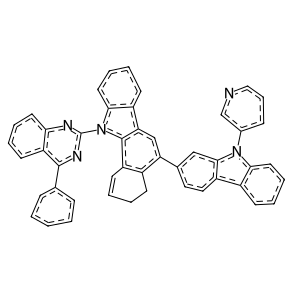 C1=Cc2c(c(-c3ccc4c5ccccc5n(-c5cccnc5)c4c3)cc3c4ccccc4n(-c4nc(-c5ccccc5)c5ccccc5n4)c23)CC1